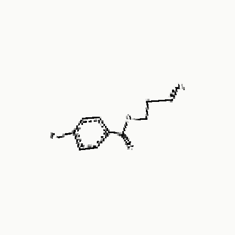 C=CCCOC(=O)c1ccc(C(C)C)cc1